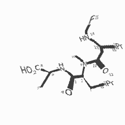 CC(C)C[C@@H](C(=O)N[C@@H](C)C(=O)O)N(C)C(=O)C(NF)C(C)C